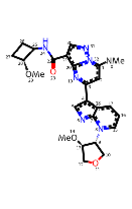 CNc1cc(-c2cnc3n([C@@H]4COC[C@H]4OC)cccc2-3)nc2c(C(=O)NC3CC[C@@H]3OC)cnn12